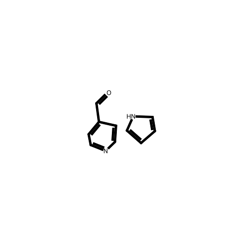 O=Cc1ccncc1.c1cc[nH]c1